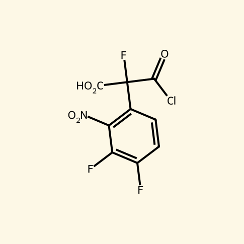 O=C(O)C(F)(C(=O)Cl)c1ccc(F)c(F)c1[N+](=O)[O-]